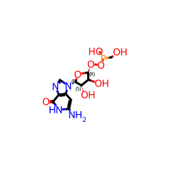 Nc1cc2c(ncn2[C@@H]2O[C@H](OOP(O)CO)C(O)[C@@H]2O)c(=O)[nH]1